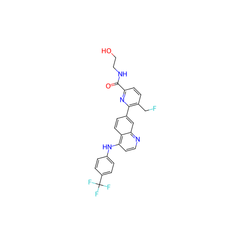 O=C(NCCO)c1ccc(CF)c(-c2ccc3c(Nc4ccc(C(F)(F)F)cc4)ccnc3c2)n1